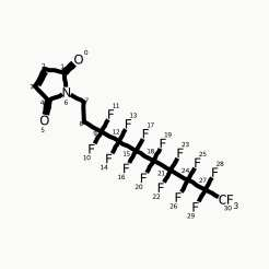 O=C1C=CC(=O)N1CCC(F)(F)C(F)(F)C(F)(F)C(F)(F)C(F)(F)C(F)(F)C(F)(F)C(F)(F)F